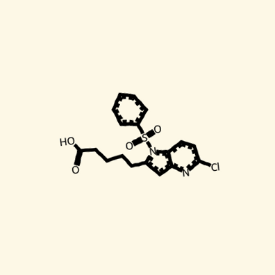 O=C(O)CCCCc1cc2nc(Cl)ccc2n1S(=O)(=O)c1ccccc1